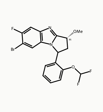 CO[C@@H]1CC(c2ccccc2OC(F)F)n2c1nc1cc(F)c(Br)cc12